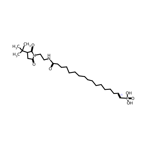 CC(C)(C)C1CC(=O)N(CCNC(=O)CCCCCCCCCCCCCC/C=C/P(=O)(O)O)C1=O